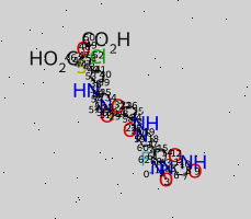 Cn1c(=O)n(C2CCC(=O)NC2=O)c2ccc(C3CCN(C(=O)Nc4cccc(CS(=O)(=O)N5CC[C@H](Nc6cccc(-c7sc(C(=O)O)c(OCC(=O)O)c7Cl)c6)CC5(C)C)c4)CC3)c(F)c21